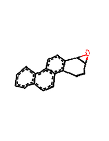 c1ccc2c(c1)ccc1c3c(ccc12)C1OC1CC3